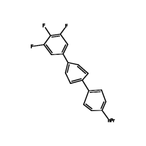 CCCc1ccc(-c2ccc(-c3cc(F)c(F)c(F)c3)cc2)cc1